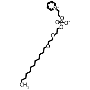 CCCCCCCCCCCCOCCOCCOP(=O)([O-])OCC[n+]1ccccc1